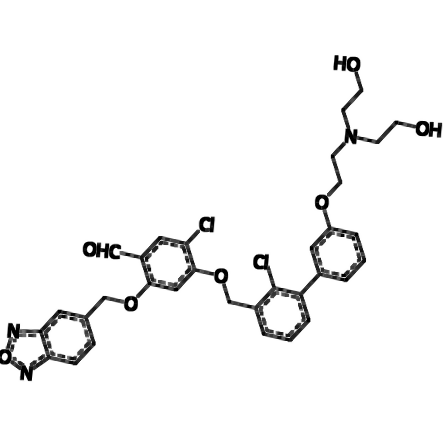 O=Cc1cc(Cl)c(OCc2cccc(-c3cccc(OCCN(CCO)CCO)c3)c2Cl)cc1OCc1ccc2nonc2c1